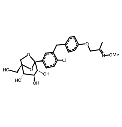 CO/N=C(\C)COc1ccc(Cc2cc([C@]34OC[C@](CO)(O3)[C@@H](O)[C@H](O)[C@H]4O)ccc2Cl)cc1